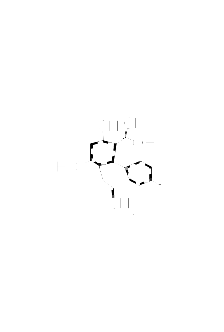 C=CCc1c(C)cc(C)c(C(C)O)c1-c1ccc(F)cc1